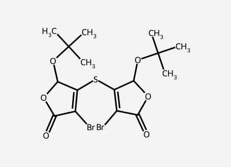 CC(C)(C)OC1OC(=O)C(Br)=C1SC1=C(Br)C(=O)OC1OC(C)(C)C